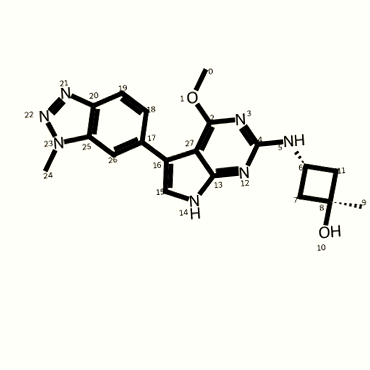 COc1nc(N[C@H]2C[C@](C)(O)C2)nc2[nH]cc(-c3ccc4nnn(C)c4c3)c12